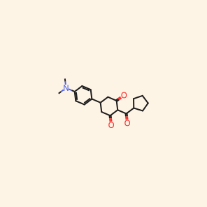 CN(C)c1ccc(C2CC(=O)C(C(=O)C3CCCC3)C(=O)C2)cc1